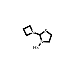 SN1CCSC1N1CCC1